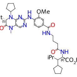 CC[C@H]1C(=O)N(C)c2cnc(Nc3ccc(C(=O)NCCCC(=O)N[C@@H](C(=O)O)C(C(C)C)C4CCCC4)cc3OC)nc2N1C1CCCC1